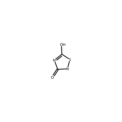 O=C1[N]SC(O)=N1